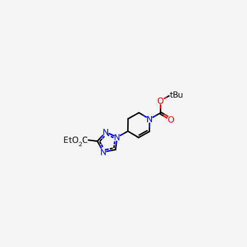 CCOC(=O)c1ncn(C2C=CN(C(=O)OC(C)(C)C)CC2)n1